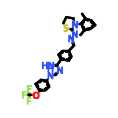 Cc1cccc(C)c1N1CCCS/C1=N\N=C\c1ccc(C(=N)/N=C\Nc2ccc(OC(F)(F)F)cc2)cc1